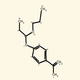 C=C(C)c1ccc(OC(CC)OCCC)cc1